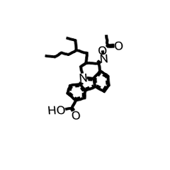 CCCCC(CC)CC1Cn2c3ccc(C(=O)O)cc3c3cccc(c32)/C1=N/OC(C)=O